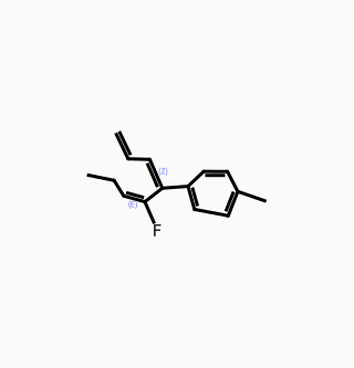 C=C/C=C(\C(F)=C/CC)c1ccc(C)cc1